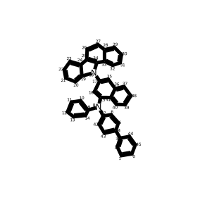 c1ccc(-c2ccc(N(c3ccccc3)c3cc(-n4c5ccccc5c5ccc6ccccc6c54)cc4ccccc34)cc2)cc1